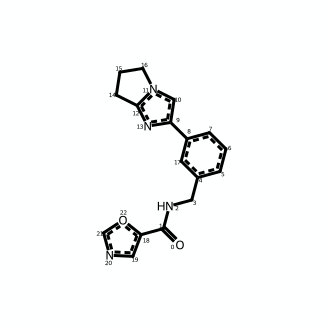 O=C(NCc1cccc(-c2cn3c(n2)CCC3)c1)c1cnco1